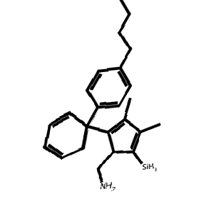 CCCCc1ccc(C2(C3=C(C)C(C)=C([SiH3])C3CN)C=CC=CC2)cc1